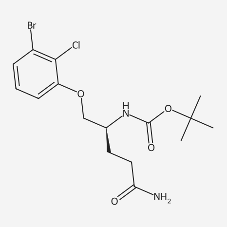 CC(C)(C)OC(=O)N[C@@H](CCC(N)=O)COc1cccc(Br)c1Cl